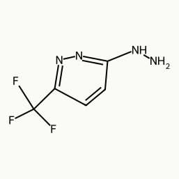 NNc1ccc(C(F)(F)F)nn1